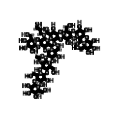 CC(=O)NC1[C@H](OC2[C@H](O[C@@H]3C(CO[C@@H]4OC(CO)[C@@H](O)[C@H](O)C4O[C@H]4OC(CO)[C@@H](O[C@@H]5OC(CO)[C@H](O[C@H]6OC(CO)[C@H](O)[C@H](O)C6O)[C@H](O)C5O)[C@H](O)C4O)O[C@H](OCCCS)C(O)[C@H]3O[C@@H]3OC(CO)[C@@H](O)[C@H](O)C3O)OC(CO)[C@@H](O)[C@@H]2O)OC(CO)[C@@H](O[C@@H]2OC(CO)[C@H](O[C@H]3OC(CO)[C@H](O)[C@H](O)C3O)[C@H](O)C2O)[C@@H]1O